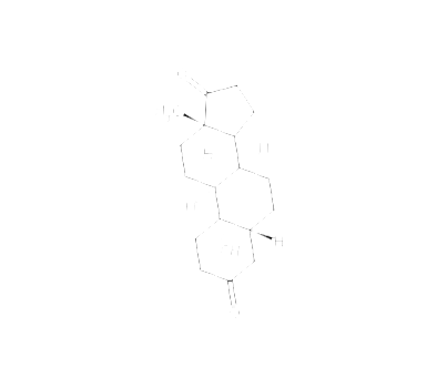 C[C@@]12CCC(=O)C[C@H]1CC[C@H]1[C@@H]2CC[C@]2(C)C(=O)CC[C@@H]12